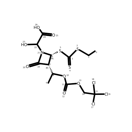 CCSC(=S)S[C@@H]1[C@H](C(C)OC(=O)OCC(Cl)(Cl)Cl)C(=O)N1C(O)C(=O)O